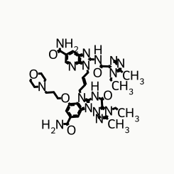 CCn1c(C)nnc1C(=O)Nc1nc2cc(C(N)=O)cnc2n1CC=CCn1c(NC(=O)c2nnc(C)n2CC)nc2cc(C(N)=O)cc(OCCCN3CCOCC3)c21